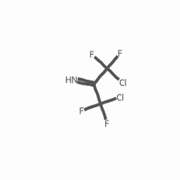 N=C(C(F)(F)Cl)C(F)(F)Cl